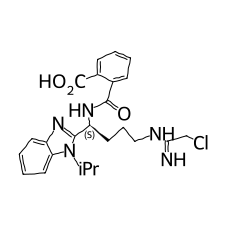 CC(C)n1c([C@H](CCCNC(=N)CCl)NC(=O)c2ccccc2C(=O)O)nc2ccccc21